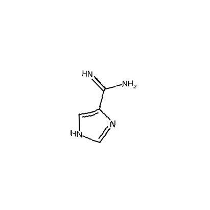 N=C(N)c1c[nH]cn1